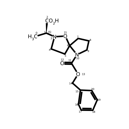 C[C@@H](C(=O)O)N1CCC2(CCCN2C(=O)OCc2ccccc2)O1